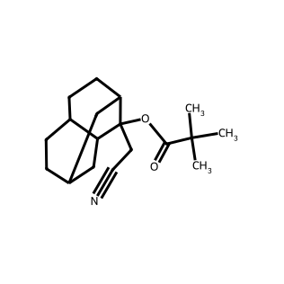 CC(C)(C)C(=O)OC1(CC#N)C2CCC3CCC(C2)CC31